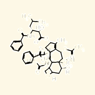 CC(=O)O[C@H]1C2=C(C)[C@@H](OC(=O)[C@H](O)[C@H](CC(C)C)NC(=O)c3ccccc3)C[C@@]2(C(C)(C)O)[C@@H](OC(=O)c2ccccc2)[C@@H]2[C@]3(OC(C)=O)CO[C@@H]3C[C@H](O)[C@@]2(C)[C@H]1O